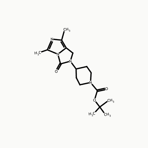 Cc1nc(C)n2c1CN(C1CCN(C(=O)OC(C)(C)C)CC1)C2=O